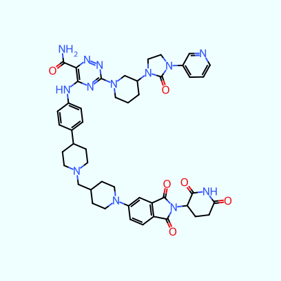 NC(=O)c1nnc(N2CCCC(N3CCN(c4cccnc4)C3=O)C2)nc1Nc1ccc(C2CCN(CC3CCN(c4ccc5c(c4)C(=O)N(C4CCC(=O)NC4=O)C5=O)CC3)CC2)cc1